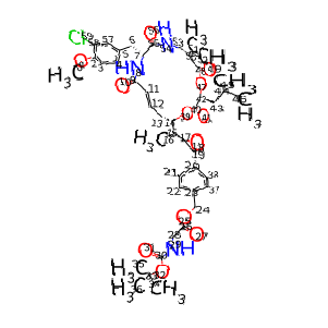 COc1ccc(C[C@H]2NC(=O)/C=C/C[C@@H]([C@H](C)[C@H]3O[C@@H]3c3ccc(COC(=O)CNC(=O)OC(C)(C)C)cc3)OC(=O)[C@H](CC(C)C)OC(=O)C(C)(C)CNC2=O)cc1Cl